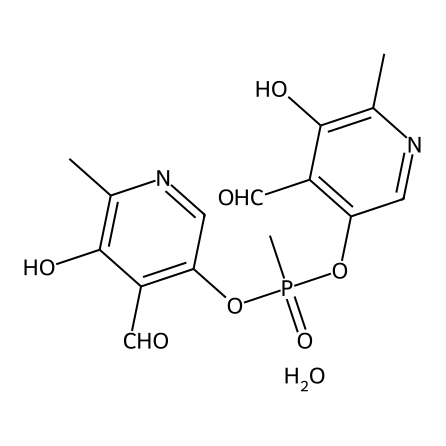 Cc1ncc(OP(C)(=O)Oc2cnc(C)c(O)c2C=O)c(C=O)c1O.O